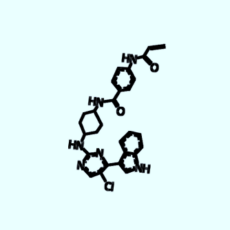 C=CC(=O)Nc1ccc(C(=O)NC2CCC(Nc3ncc(Cl)c(-c4c[nH]c5ccccc45)n3)CC2)cc1